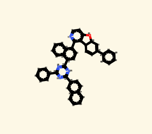 C1=CC2c3c(ccnc3-c3ccc(-c4nc(-c5ccccc5)nc(-c5ccc6ccccc6c5)n4)c4ccccc34)OC2C=C1c1ccccc1